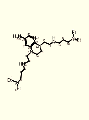 CCN(CC)CCCNCCN1CCN(CCNCCCN(CC)CC)c2ncc(N)cc21